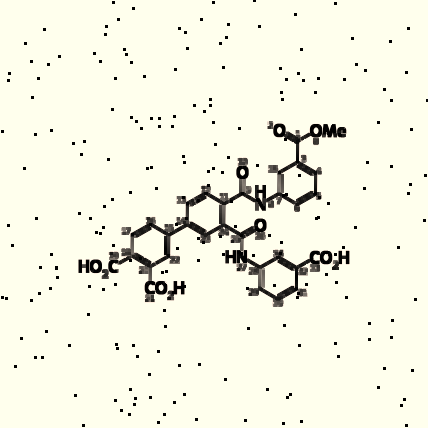 COC(=O)c1cccc(NC(=O)c2ccc(-c3ccc(C(=O)O)c(C(=O)O)c3)cc2C(=O)Nc2cccc(C(=O)O)c2)c1